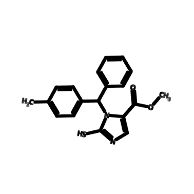 COC(=O)c1cnc(S)n1C(c1ccccc1)c1ccc(C)cc1